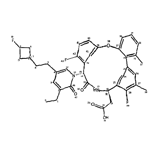 CCc1cc(CCN2CC(F)C2)cn([C@H]2C(=O)N[C@H](CC(=O)O)c3cc(cc(C)c3F)-c3c(C)cccc3Oc3ccc(F)c2c3)c1=O